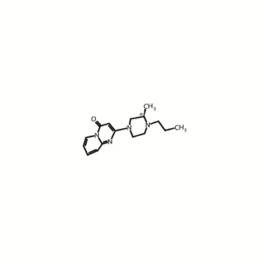 CCCN1CCN(c2cc(=O)n3ccccc3n2)C[C@H]1C